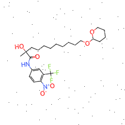 CC(O)(CCCCCCCCCOC1CCCCO1)C(=O)Nc1ccc([N+](=O)[O-])c(C(F)(F)F)c1